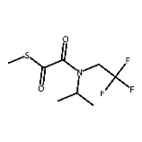 CSC(=O)C(=O)N(CC(F)(F)F)C(C)C